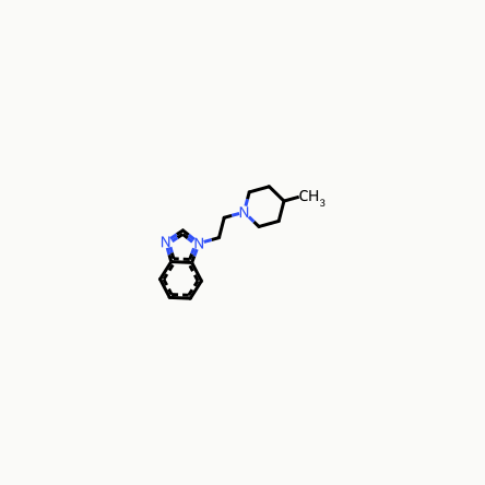 CC1CCN(CCn2cnc3ccccc32)CC1